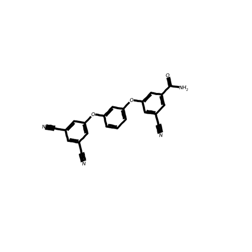 N#Cc1cc(C#N)cc(Oc2cccc(Oc3cc(C#N)cc(C(N)=O)c3)c2)c1